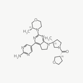 C[C@H]1COCCN1c1nc(-c2cnc(N)nc2)c2c(n1)N([C@@]1(C)CCN(C(=O)[C@@H]3CCOC3)C1)CC2